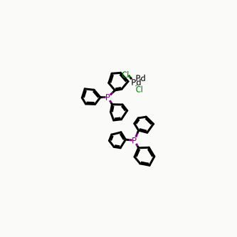 [Cl][Pd][Cl].[Pd].c1ccc(P(c2ccccc2)c2ccccc2)cc1.c1ccc(P(c2ccccc2)c2ccccc2)cc1